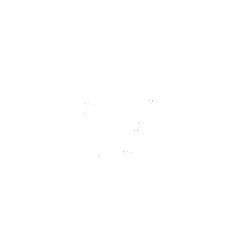 COc1cc(C)c(OC)c(OC)c1-c1c(OC)cc(C)c(OC)c1OC